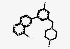 CC(=O)N1CCN(Cc2cc(F)cc(-c3ccc4ncnc(N)c4n3)c2)CC1